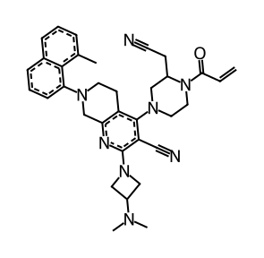 C=CC(=O)N1CCN(c2c(C#N)c(N3CC(N(C)C)C3)nc3c2CCN(c2cccc4cccc(C)c24)C3)CC1CC#N